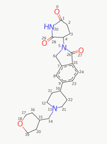 O=C1CCC(N2Cc3cc(C4CCN(CC5CCOCC5)CC4)ccc3C2=O)C(=O)N1